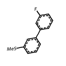 CSc1[c]c(-c2cccc(F)c2)ccc1